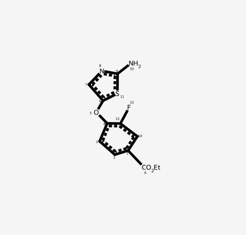 CCOC(=O)c1ccc(Oc2cnc(N)s2)c(F)c1